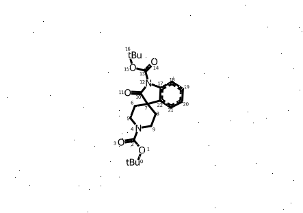 CC(C)(C)OC(=O)N1CCC2(CC1)C(=O)N(C(=O)OC(C)(C)C)c1ccccc12